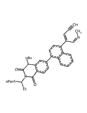 C#C/C=C(\C=N/C)c1ccc(-c2ccc3c(c2)C(CCCC)C(=O)N(C(CC)CCCCC)C3=O)c2ccccc12